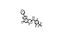 CCc1cc(=O)n2nc(C3=CCOCC3)nc2n1CC(=O)Nc1cc(F)c(C(F)(F)F)cc1C